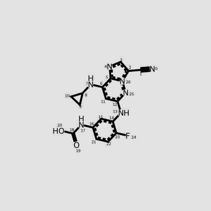 N#Cc1cnc2c(NC3CC3)cc(Nc3cc(NC(=O)O)ccc3F)nn12